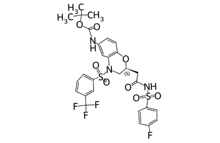 CC(C)(C)OC(=O)Nc1ccc2c(c1)N(S(=O)(=O)c1cccc(C(F)(F)F)c1)C[C@H](CC(=O)NS(=O)(=O)c1ccc(F)cc1)O2